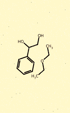 CCOCC.OCC(O)c1ccccc1